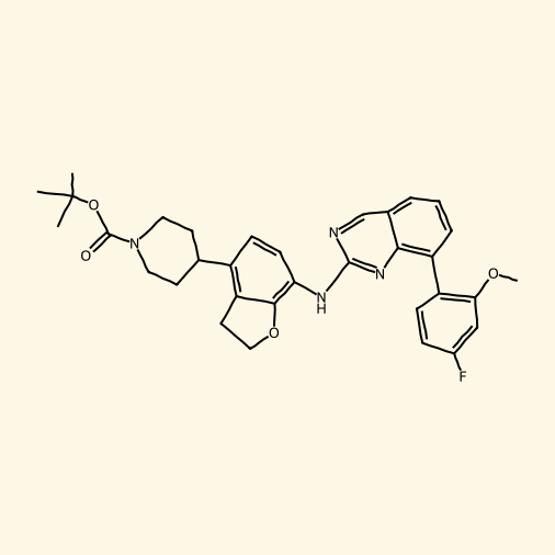 COc1cc(F)ccc1-c1cccc2cnc(Nc3ccc(C4CCN(C(=O)OC(C)(C)C)CC4)c4c3OCC4)nc12